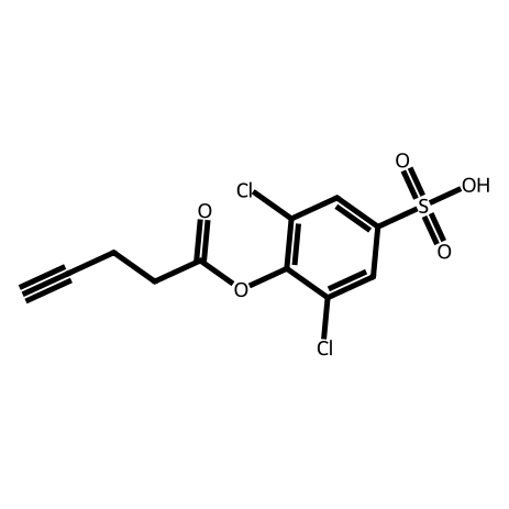 C#CCCC(=O)Oc1c(Cl)cc(S(=O)(=O)O)cc1Cl